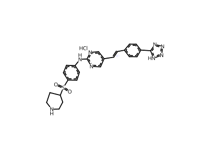 Cl.O=S(=O)(c1ccc(Nc2ncc(/C=C/c3ccc(-c4nnn[nH]4)cc3)cn2)cc1)C1CCNCC1